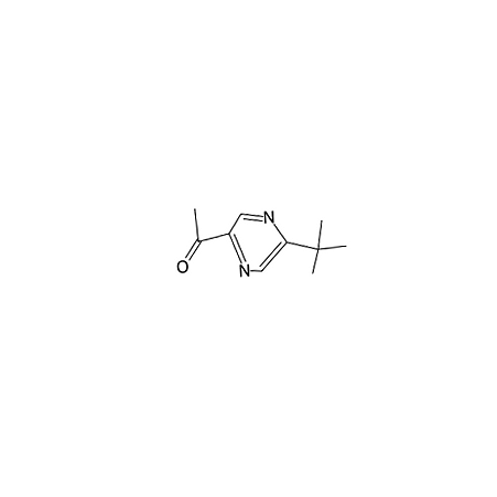 CC(=O)c1cnc(C(C)(C)C)cn1